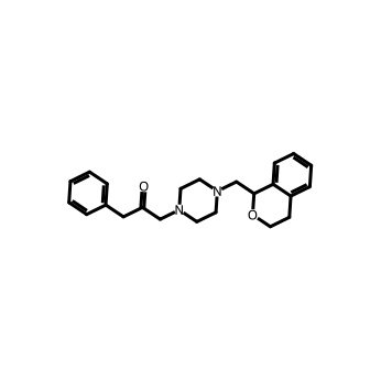 O=C(Cc1ccccc1)CN1CCN(CC2OCCc3ccccc32)CC1